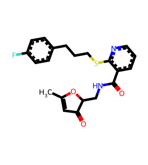 CC1=CC(=O)C(CNC(=O)c2cccnc2SCCCc2ccc(F)cc2)O1